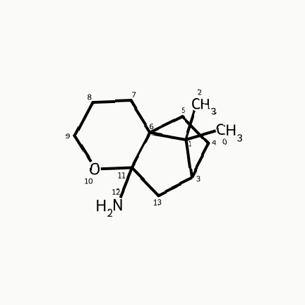 CC1(C)C2CCC13CCCOC3(N)C2